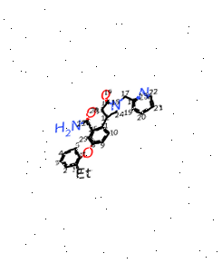 CCc1ccccc1Oc1ccc(C2CC(=O)N(Cc3ccccn3)C2)c(C(N)=O)c1